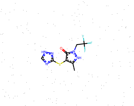 Cc1[nH]n(CC(F)(F)F)c(=O)c1Sc1nc[nH]n1